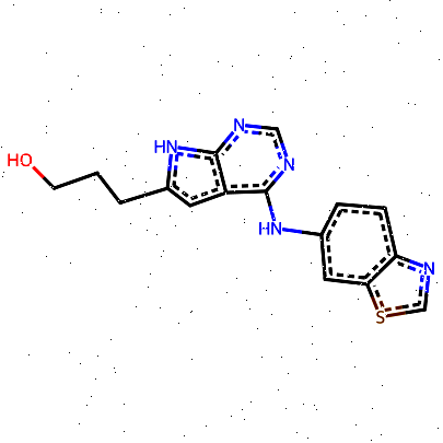 OCCCc1cc2c(Nc3ccc4ncsc4c3)ncnc2[nH]1